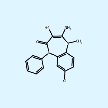 CN1C(N)=C(S)C(=O)N(c2ccccc2)c2cc(Cl)ccc21